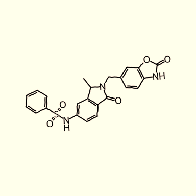 CC1c2cc(NS(=O)(=O)c3ccccc3)ccc2C(=O)N1Cc1ccc2[nH]c(=O)oc2c1